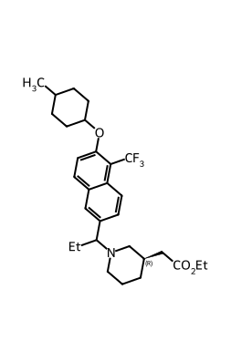 CCOC(=O)C[C@H]1CCCN(C(CC)c2ccc3c(C(F)(F)F)c(OC4CCC(C)CC4)ccc3c2)C1